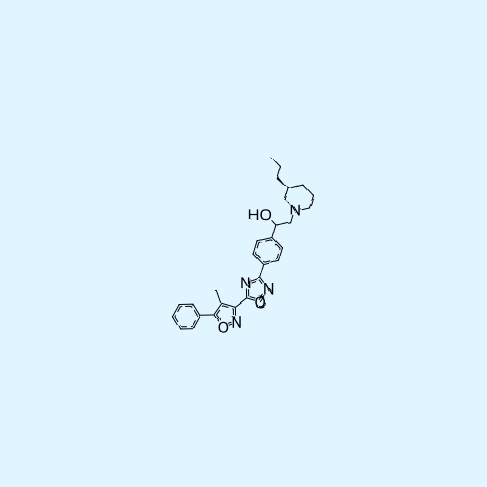 CCC[C@H]1CCCN(CC(O)c2ccc(-c3noc(-c4noc(-c5ccccc5)c4C)n3)cc2)C1